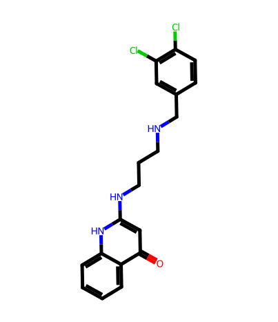 O=c1cc(NCCCNCc2ccc(Cl)c(Cl)c2)[nH]c2ccccc12